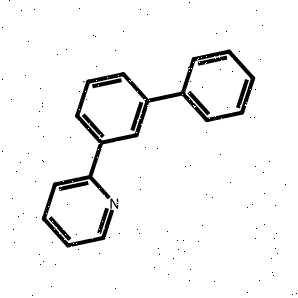 [c]1cc(-c2ccccc2)cc(-c2ccccn2)c1